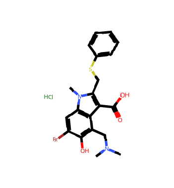 CN(C)Cc1c(O)c(Br)cc2c1c(C(=O)O)c(CSc1ccccc1)n2C.Cl